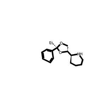 CC[C@]1(c2ccccc2)OC[C@H]([C@@H]2CCCCN2)O1